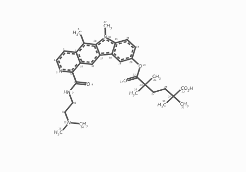 Cc1c2ccnc(C(=O)NCCN(C)C)c2cc2c3cc(OC(=O)C(C)(C)CCC(C)(C)C(=O)O)ccc3n(C)c12